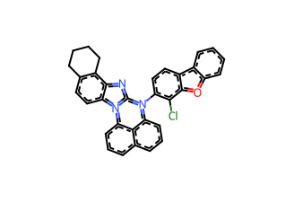 Clc1c(-n2c3cccc4cccc(c43)n3c4ccc5c(c4nc23)CCCC5)ccc2c1oc1ccccc12